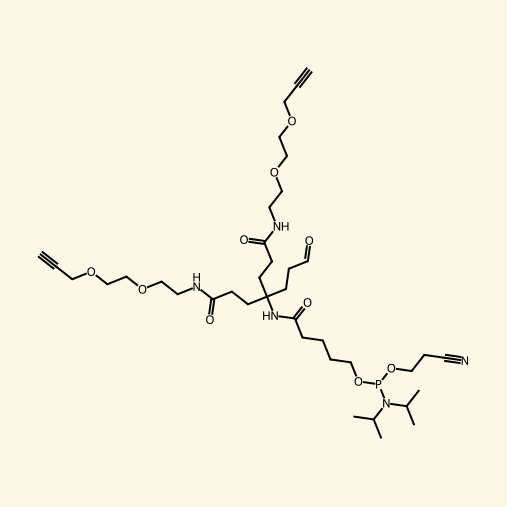 C#CCOCCOCCNC(=O)CCC(CCC=O)(CCC(=O)NCCOCCOCC#C)NC(=O)CCCCOP(OCCC#N)N(C(C)C)C(C)C